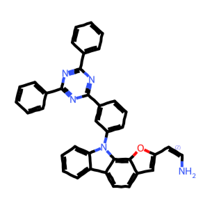 N/C=C\c1cc2ccc3c4ccccc4n(-c4cccc(-c5nc(-c6ccccc6)nc(-c6ccccc6)n5)c4)c3c2o1